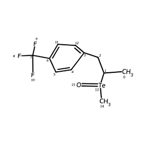 CC(Cc1ccc(C(F)(F)F)cc1)[Te](C)=O